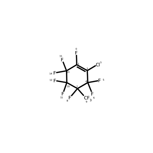 FC1=C(Cl)C(F)(F)C(F)(C(F)(F)F)C(F)(F)C1(F)F